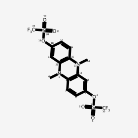 CN1c2ccc(OS(=O)(=O)C(F)(F)F)cc2N(C)c2ccc(OS(=O)(=O)C(F)(F)F)cc21